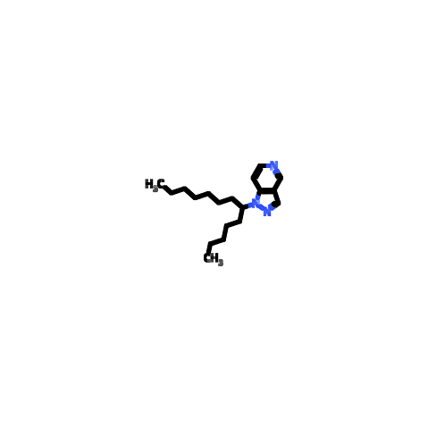 CCCCCCCC(CCCCC)n1ncc2cnccc21